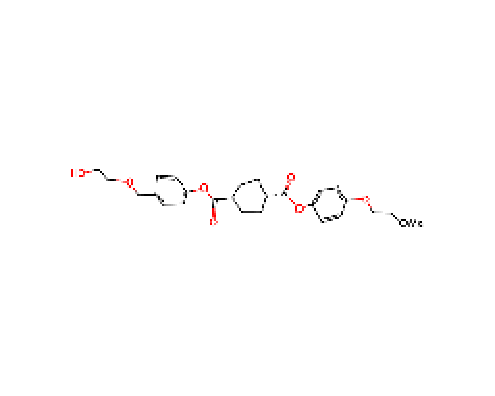 COCCOc1ccc(OC(=O)[C@H]2CC[C@H](C(=O)Oc3ccc(COCCO)cc3)CC2)cc1